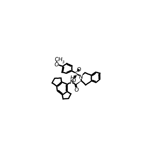 COc1ccc(S(=O)(=O)N2Cc3ccccc3C[C@H]2C(=O)Nc2c3c(cc4c2CCC4)CCC3)cc1